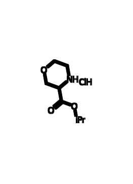 CC(C)OC(=O)C1COCCN1.Cl